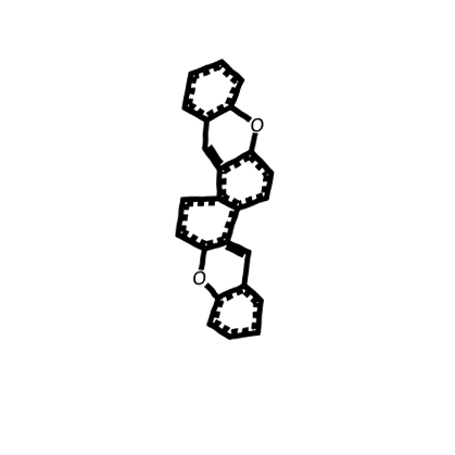 C1=c2c(ccc3c4c(ccc23)Oc2ccccc2C=4)Oc2ccccc21